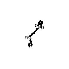 CCN(CCCCCCCCN1C(=O)c2ccccc2C1=O)OCCN1CCOCC1